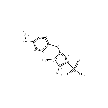 COc1ccc(Cn2nc(S(C)(=O)=O)c(N)c2N)cc1